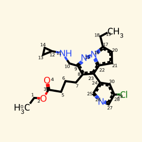 CCOC(=O)CCCc1c(CNC2CC2)nn2c(CC)ccc2c1-c1cncc(Cl)c1